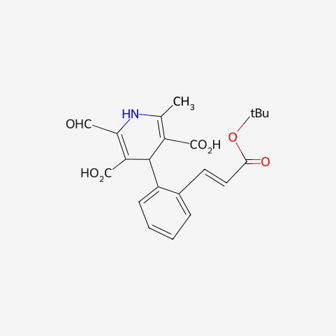 CC1=C(C(=O)O)C(c2ccccc2C=CC(=O)OC(C)(C)C)C(C(=O)O)=C(C=O)N1